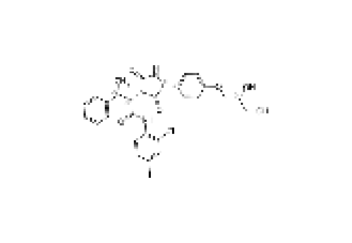 C[C@@H](c1ccccc1)[C@@H](C(=O)Nc1ccc(I)cc1Cl)N1C(=O)N[C@H](c2ccc(OC[C@H](O)CO)cc2)C1=O